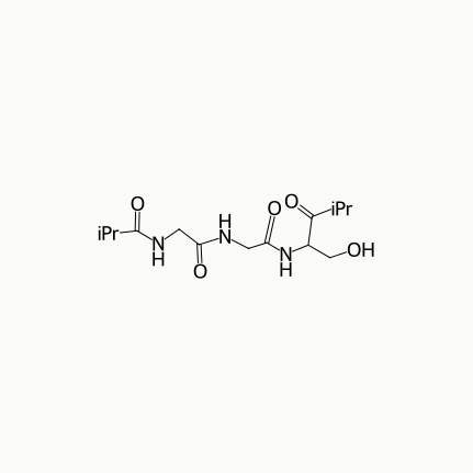 CC(C)C(=O)NCC(=O)NCC(=O)NC(CO)C(=O)C(C)C